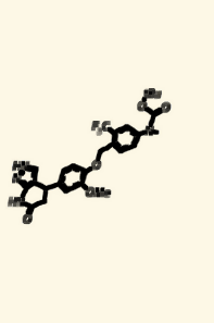 COc1cc(C2CC(=O)Nc3n[nH]cc32)ccc1OCc1ccc(N(C)C(=O)OC(C)(C)C)cc1C(F)(F)F